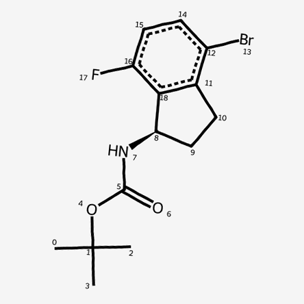 CC(C)(C)OC(=O)N[C@@H]1CCc2c(Br)ccc(F)c21